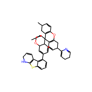 CC1C=CC2=C(C1)C1(C3=CCCCC3(C)OC3C=C(c4cccc5sc6c(c45)C=CCN6)C=CC31)C1=C(CC(C3=CCCC=N3)C=C1)O2